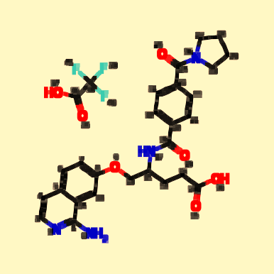 Nc1nccc2ccc(OCC(CCC(=O)O)NC(=O)c3ccc(C(=O)N4CCCC4)cc3)cc12.O=C(O)C(F)(F)F